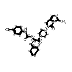 Cc1ncc2n1C(=O)N(N1CCN(C(=O)[C@@H](Cc3ccccc3)NC(=O)Nc3ccc(Cl)cc3)CC1)C2